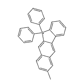 Cc1ccc2cc3c(cc2c1)-c1ccccc1[Si]3(c1ccccc1)c1ccccc1